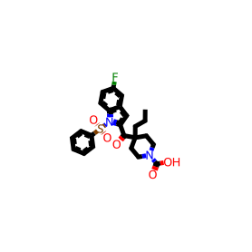 CCCC1(C(=O)c2cc3cc(F)ccc3n2S(=O)(=O)c2ccccc2)CCN(C(=O)O)CC1